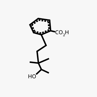 CC(O)C(C)(C)CCc1ccccc1C(=O)O